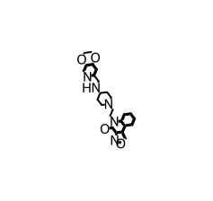 O=c1c2nocc2c2ccccc2n1CCN1CCC(NCc2cc3c(cn2)OCCO3)CC1